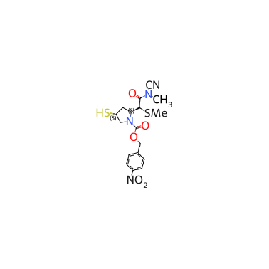 CSC(C(=O)N(C)C#N)[C@@H]1C[C@H](S)CN1C(=O)OCc1ccc([N+](=O)[O-])cc1